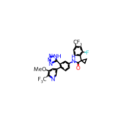 COc1cc(-c2ccc(NC(=O)C3(c4ccc(C(F)(F)F)cc4F)CC3)cc2-c2nnn[nH]2)cnc1C(F)(F)F